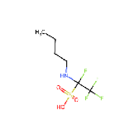 CCCCNC(F)(C(F)(F)F)S(=O)(=O)O